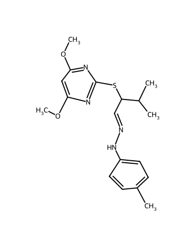 COc1cc(OC)nc(SC(C=NNc2ccc(C)cc2)C(C)C)n1